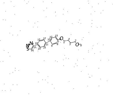 COCCCCOc1ccc(-c2ccc(-c3csnn3)cc2)cc1